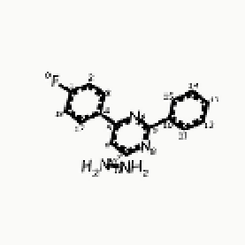 Fc1ccc(-c2ccnc(-c3ccccc3)n2)cc1.NN